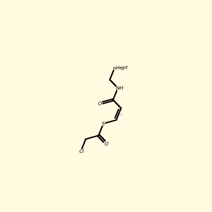 CCCCCCCCNC(=O)/C=C\SC(=O)CCl